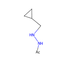 CC(=O)NNCC1CC1